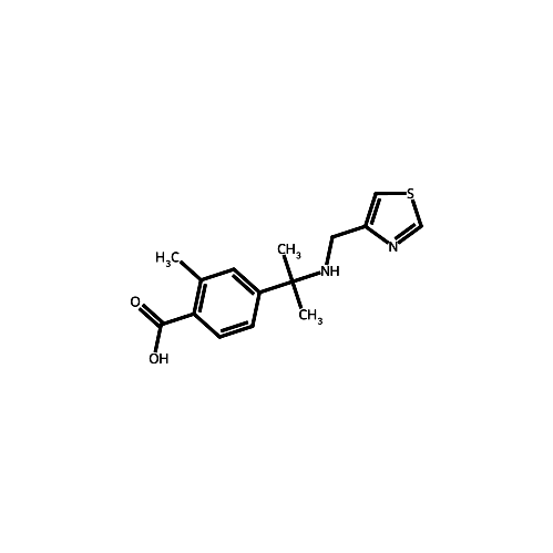 Cc1cc(C(C)(C)NCc2cscn2)ccc1C(=O)O